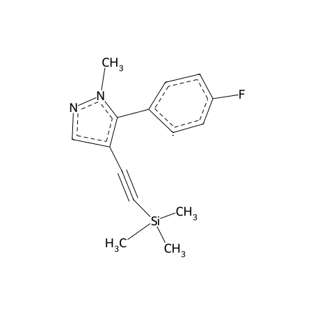 Cn1ncc(C#C[Si](C)(C)C)c1-c1[c]cc(F)cc1